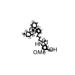 COc1cc(NC(=O)CCCc2cccc(C3(C(=O)OCC4CCN(C)CC4)CCCCC3)c2)c(Cl)cc1CO